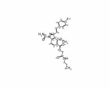 CCCNC(=O)COC(=O)c1ccc2c(c(C=Cc3ccc(F)cc3)nn2C(N)=O)c1OC